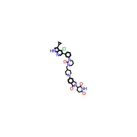 O=C1CCC(N2Cc3cc(N4CCC(CN5CCCN(c6cccc(-c7cnc8[nH]cc(C9CC9)c8c7Cl)c6)C5=O)CC4)ccc3C2=O)C(=O)N1